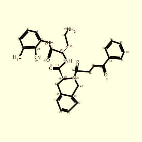 Cc1cccc(NC(=O)[C@H](CCN)NC(=O)[C@@H]2Cc3ccccc3CN2C(=O)CCC(=O)c2ccccc2)c1C#N